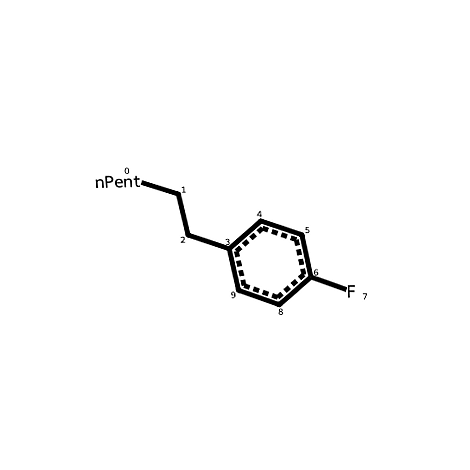 [CH2]CCCCCCc1ccc(F)cc1